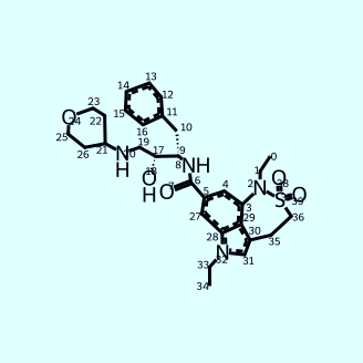 CCN1c2cc(C(=O)N[C@@H](Cc3ccccc3)[C@H](O)CNC3CCOCC3)cc3c2c(cn3CC)CCS1(=O)=O